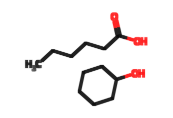 CCCCCC(=O)O.OC1CCCCC1